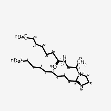 CCCCCCCCCCCCCCCCCCC1=NCCN1C(C)CNC(=O)CCCCCCCCCCCCCCC